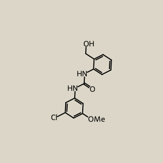 COc1cc(Cl)cc(NC(=O)Nc2ccccc2CO)c1